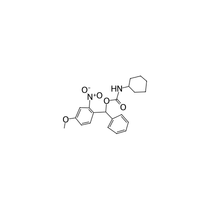 COc1ccc(C(OC(=O)NC2CCCCC2)c2ccccc2)c([N+](=O)[O-])c1